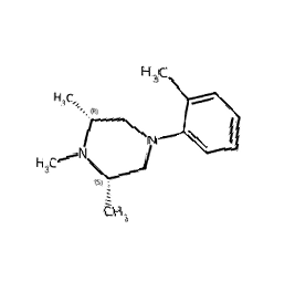 Cc1ccccc1N1C[C@@H](C)N(C)[C@@H](C)C1